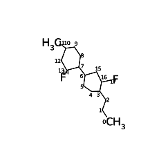 CCCC1CCC(C2CCC(C)C[C@H]2F)CC1F